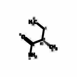 CC[C@H](C)C(N)=O